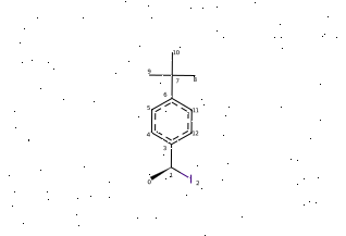 C[C@H](I)c1ccc(C(C)(C)C)cc1